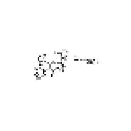 COCCOC[C@H]1COC(=O)N1c1noc2c(F)c(N3C[C@@H](C)O[C@H](C)C3)c(C3OCCO3)cc12